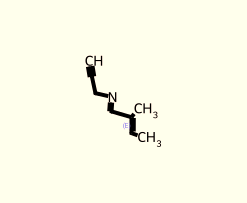 C#CCN=C/C(C)=C/C